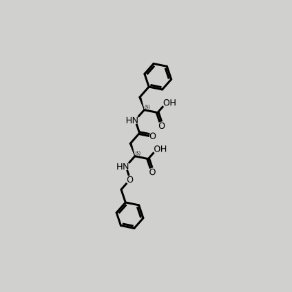 O=C(C[C@H](NOCc1ccccc1)C(=O)O)N[C@@H](Cc1ccccc1)C(=O)O